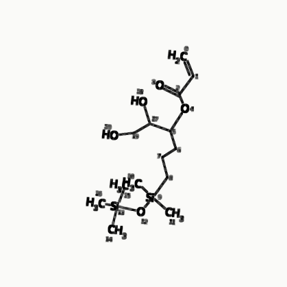 C=CC(=O)OC(CCC[Si](C)(C)O[Si](C)(C)C)C(O)CO